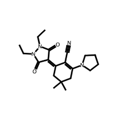 CCN1C(=O)C(=C2CC(C)(C)CC(N3CCCC3)=C2C#N)C(=O)N1CC